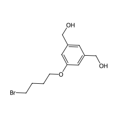 OCc1cc(CO)cc(OCCCCBr)c1